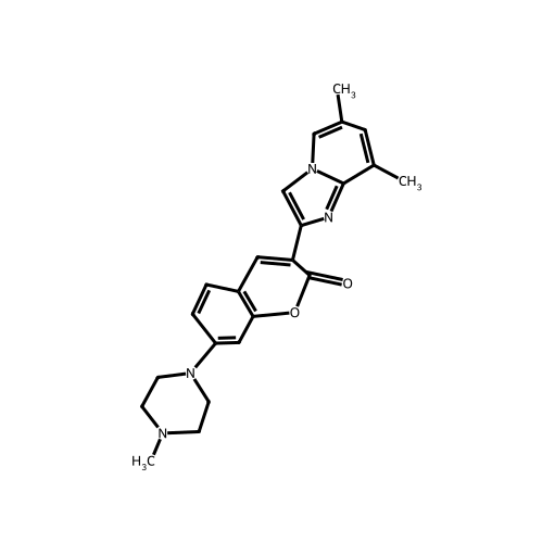 Cc1cc(C)c2nc(-c3cc4ccc(N5CCN(C)CC5)cc4oc3=O)cn2c1